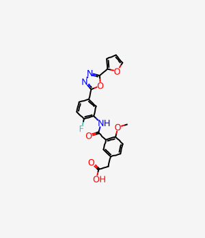 COc1ccc(CC(=O)O)cc1C(=O)Nc1cc(-c2nnc(-c3ccco3)o2)ccc1F